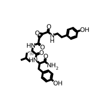 CC(C)C[C@H](NC(=O)C1OC1C(=O)NCCc1ccc(O)cc1)C(=O)NC(Cc1ccc(O)cc1)C(N)=O